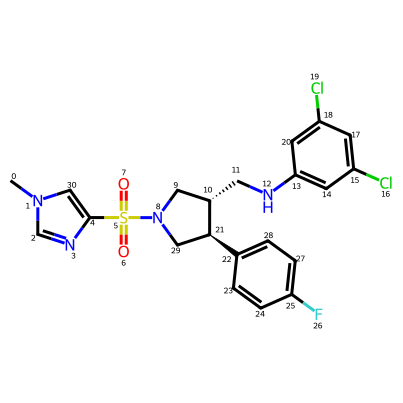 Cn1cnc(S(=O)(=O)N2C[C@H](CNc3cc(Cl)cc(Cl)c3)[C@@H](c3ccc(F)cc3)C2)c1